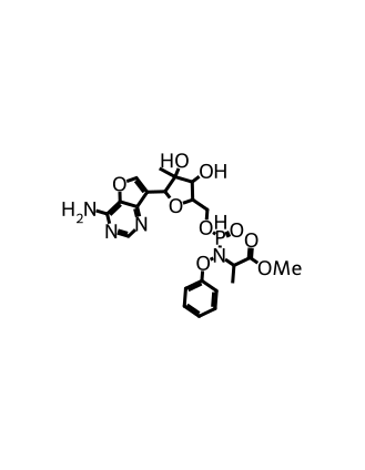 COC(=O)C(C)N(Oc1ccccc1)[PH](=O)OCC1OC(c2coc3c(N)ncnc23)C(C)(O)C1O